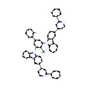 Fc1cccc(F)c1-c1cc(-n2c3ccccc3c3cc(-c4ccnc(-c5ccccc5)c4)ccc32)c(C(F)(F)F)c(-n2c3ccccc3c3cc(-c4ccnc(-c5ccccc5)c4)ccc32)c1